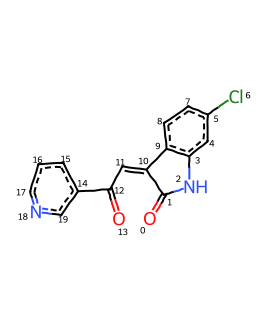 O=C1Nc2cc(Cl)ccc2C1=CC(=O)c1cccnc1